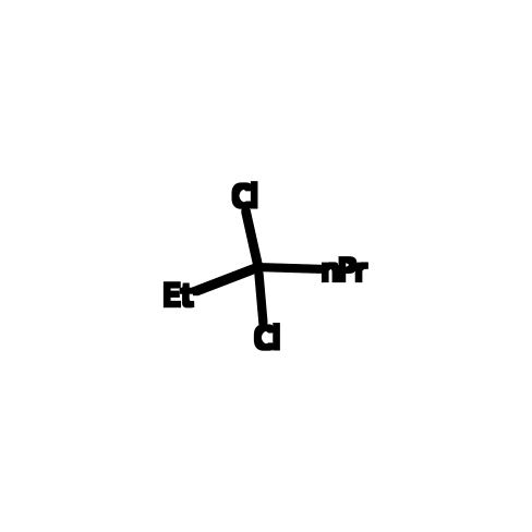 [CH2]CCC(Cl)(Cl)C[CH2]